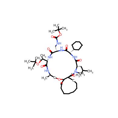 CC(C)C[C@H]1C(=O)N[C@@H](C2CCCCC2)C(=O)N[C@@H](CNC(=O)OC(C)(C)C)C(=O)N[C@@H]([C@H](C)OC(C)(C)C)C(=O)N[C@H](C)CO[C@@H]2CCCCCCCC[C@H]2C(=O)N1C